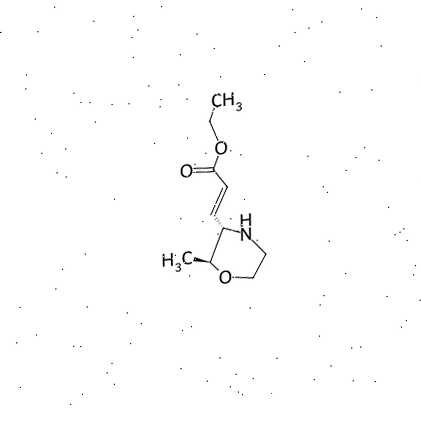 CCOC(=O)C=C[C@@H]1NCCO[C@H]1C